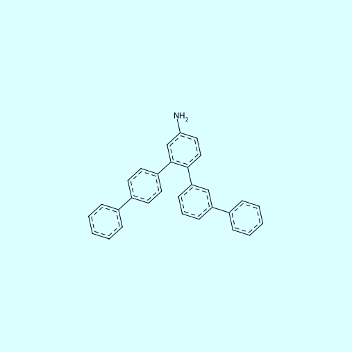 Nc1ccc(-c2cccc(-c3ccccc3)c2)c(-c2ccc(-c3ccccc3)cc2)c1